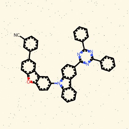 N#Cc1cccc(-c2ccc3oc4ccc(-n5c6ccccc6c6cc(-c7nc(-c8ccccc8)nc(-c8ccccc8)n7)ccc65)cc4c3c2)c1